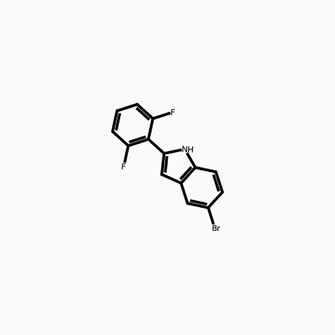 Fc1cccc(F)c1-c1cc2cc(Br)ccc2[nH]1